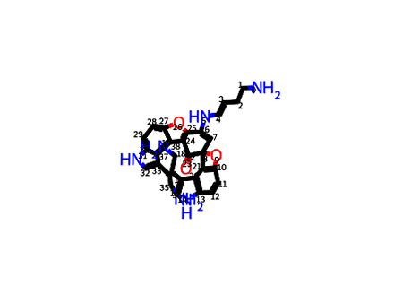 NCC/C=C/NC1=CC2(Oc3ccc4[nH]cc(CCN)c4c32)C(=O)c2c1oc1ccc3[nH]cc(CCN)c3c21